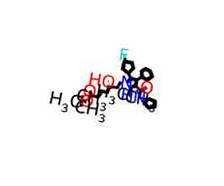 CC(C)c1c(C(=O)Nc2ccccc2)c(-c2ccccc2)c(-c2ccc(F)cc2)n1CC[C@@H](O)C/C=C/C(=O)OC(C)(C)C